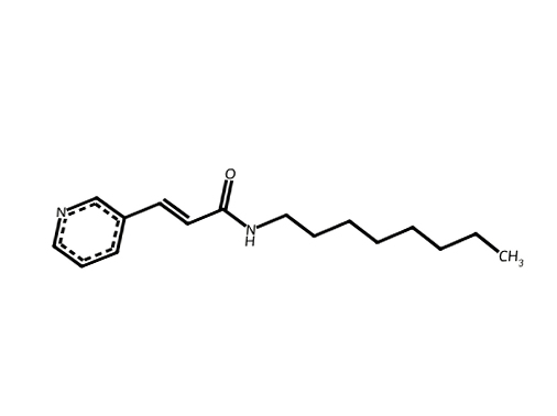 CCCCCCCCNC(=O)/C=C/c1cccnc1